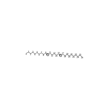 CCCCCCCCCCOCCCCCOCCCCCCCCCC